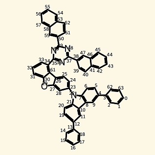 c1ccc(-c2ccc3c(c2)c2cc(-c4ccccc4)ccc2n3-c2ccc3c(c2)oc2cccc(-c4nc(-c5ccc6ccccc6c5)nc(-c5ccc6ccccc6c5)n4)c23)cc1